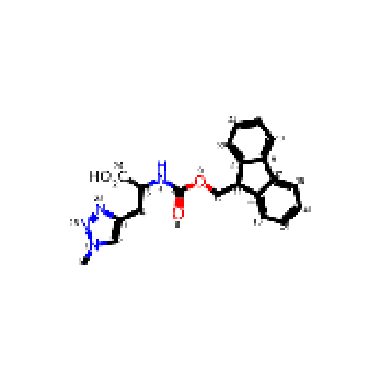 Cn1cc(CC(NC(=O)OCC2c3ccccc3-c3ccccc32)C(=O)O)nn1